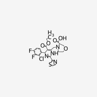 CCOC(=O)C1=C(CN2CCOCC2C(=O)O)NC(c2nccs2)=NC1c1ccc(F)c(F)c1Cl